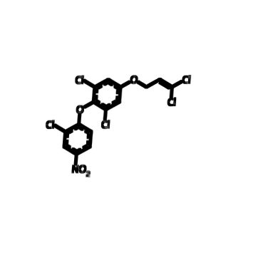 O=[N+]([O-])c1ccc(Oc2c(Cl)cc(OCC=C(Cl)Cl)cc2Cl)c(Cl)c1